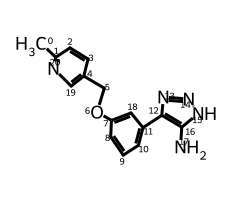 Cc1ccc(COc2cccc(-c3nn[nH]c3N)c2)cn1